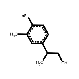 CCCc1ccc([C](C)CO)cc1C